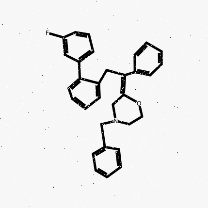 Fc1cccc(-c2ccccc2CC(=C2CN(Cc3ccccc3)CCO2)c2ccccc2)c1